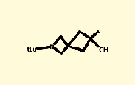 CC1(O)CC2(CN(C(C)(C)C)C2)C1